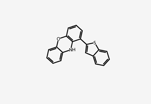 c1ccc2c(c1)Nc1c(cccc1-c1cc3ccccc3s1)O2